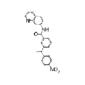 C=C(c1ccc([N+](=O)[O-])cc1)c1cccc(C(=O)Nc2ccc3cccnc3c2)c1